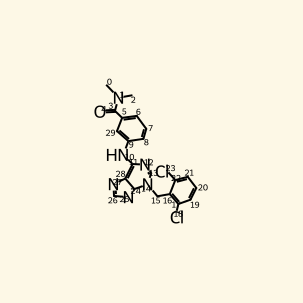 CN(C)C(=O)c1cccc(Nc2ncn(Cc3c(Cl)cccc3Cl)c3ncnc2-3)c1